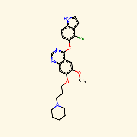 COc1cc2c(Oc3ccc4[nH]ccc4c3Br)ncnc2cc1OCCCN1CCCCC1